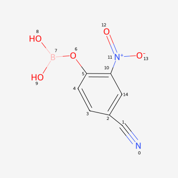 N#Cc1ccc(OB(O)O)c([N+](=O)[O-])c1